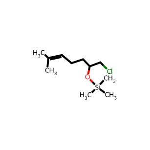 CC(C)=CCCC(CCl)O[Si](C)(C)C